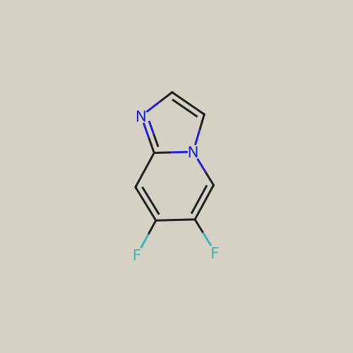 Fc1cc2nccn2cc1F